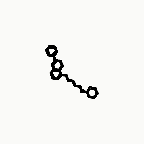 C1=C(c2ccccc2)CCc2c1cccc2CCCCCOC1CCCCO1